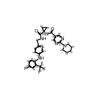 O=C(NC1(C(=O)NCc2ccc(Nc3ccc(F)cc3C(F)(F)F)cn2)CC1)c1cnc(N2CCCCC2)nc1